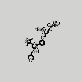 Cc1noc(C)c1-c1cc(NCC2CCOCC2)nc(-c2cccc(OCC(CCOC(=O)NC(C)(C)C)O[Si](C)(C)C(C)(C)C)c2)n1